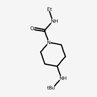 CCNC(=O)N1CCC(NC(C)(C)C)CC1